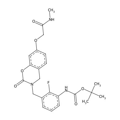 CNC(=O)COc1ccc2c(c1)OC(=O)N(Cc1cccc(NC(=O)OC(C)(C)C)c1F)C2